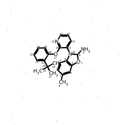 Cc1ccc2c(c1)OC(N)N2c1cccnc1Oc1ccccc1C(C)(C)C